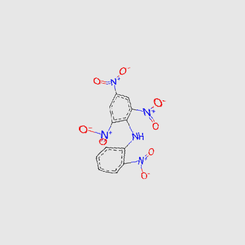 O=[N+]([O-])c1cc([N+](=O)[O-])c(Nc2ccccc2[N+](=O)[O-])c([N+](=O)[O-])c1